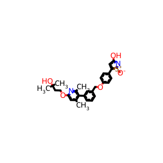 Cc1cc(OCCC(C)(C)O)nc(C)c1-c1cccc(COc2ccc(-c3cc(O)n[s+]3[O-])cc2)c1